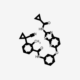 Cc1c(C(=O)Nc2cccc(Oc3ccc4nc(NC(=O)C5CC5)sc4n3)c2)cccc1C1(C#N)CC1